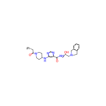 CC(C)CC(=O)N1CCC(Nc2cc(C(=O)NCC(O)CN3CCc4ccccc4C3)ncn2)CC1